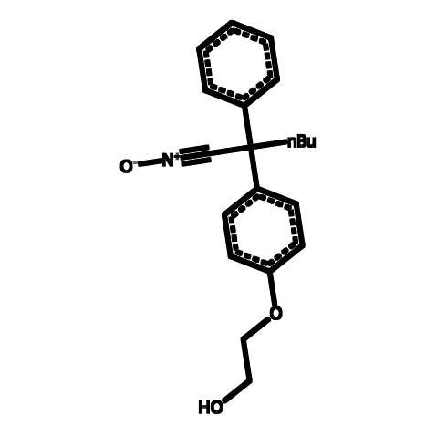 CCCCC(C#[N+][O-])(c1ccccc1)c1ccc(OCCO)cc1